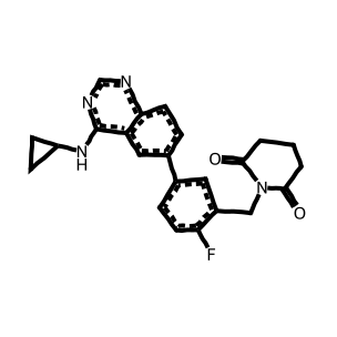 O=C1CCCC(=O)N1Cc1cc(-c2ccc3ncnc(NC4CC4)c3c2)ccc1F